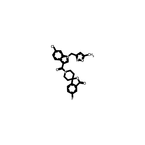 Cc1cc(Cn2cc(C(=O)N3CCC4(CC3)OC(=O)c3cc(F)ccc34)c3ccc(Cl)cc32)no1